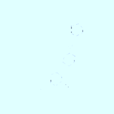 Nc1cc(C(=O)O)ccc1Oc1ccc(OCc2ccccc2)cc1